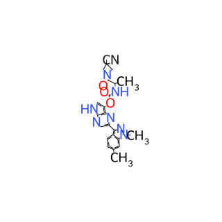 Cc1ccc2c(-c3cnc4[nH]cc(OC(=O)N[C@H](C)C(=O)N5CC(C#N)C5)c4n3)nn(C)c2c1